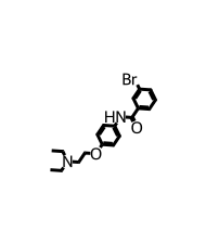 CCN(CC)CCOc1ccc(NC(=O)c2cccc(Br)c2)cc1